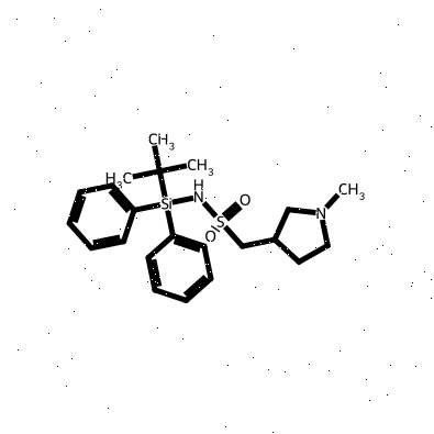 CN1CCC(CS(=O)(=O)N[Si](c2ccccc2)(c2ccccc2)C(C)(C)C)C1